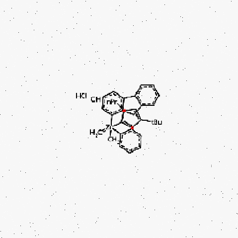 Cl.Cl.[CH2]=[Zr]([CH3])([C]1=CC(C(C)(C)C)=CC1CCC)([c]1ccccc1)[c]1cccc2c1Cc1ccccc1-2